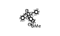 COC(=O)n1ccc2cc(C3(CCc4ccccc4)CC(=O)N(Cc4ccccc4)C3=O)ccc21